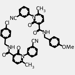 COc1ccc(CNC(=O)c2ccc(C)n(-c3cccc(C#N)c3)c2=O)cc1.Cc1ccc(C(=O)NCc2ccc(Cl)cc2)c(=O)n1-c1cccc(C#N)c1